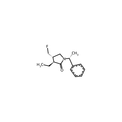 CC[C@@H]1C(=O)N([C@H](C)c2ccccc2)C[C@H]1CF